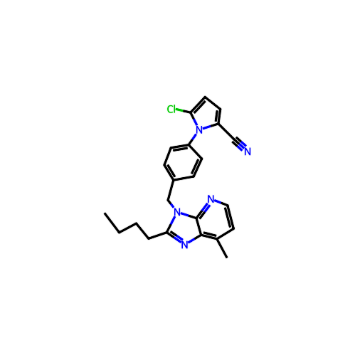 CCCCc1nc2c(C)ccnc2n1Cc1ccc(-n2c(Cl)ccc2C#N)cc1